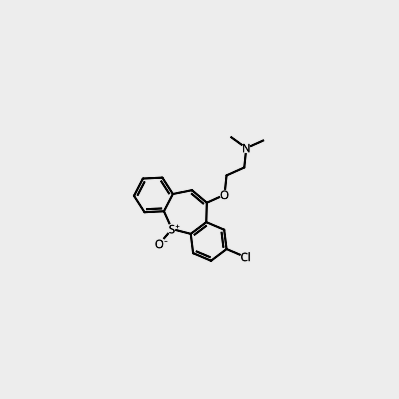 CN(C)CCOC1=Cc2ccccc2[S+]([O-])c2ccc(Cl)cc21